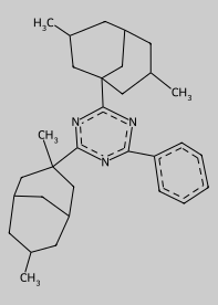 CC1CC2CC(C1)CC(C)(c1nc(-c3ccccc3)nc(C34CC(C)CC(CC(C)C3)C4)n1)C2